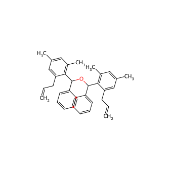 C=CCc1cc(C)cc(C)c1C(OC(c1ccccc1)c1c(C)cc(C)cc1CC=C)c1ccccc1